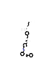 CC1(OC(=O)OCc2ccc(BOCCCO)cc2)COC(/C=C/c2ccccc2OC(=O)c2ccccc2)OC1